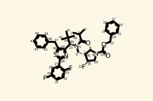 CC(C)C(=O)N(C[C@@H]1CN(C(=O)OCc2ccccc2)C[C@@H]1F)[C@@H](c1nc(-c2cc(F)ccc2F)sc1Cc1ccccc1)C(C)(C)C